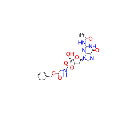 CC(C)C(=O)Nc1nc2c(ncn2[C@H]2CC(OC(=O)NCC(=O)OCc3ccccc3)[C@@H](CO)O2)c(=O)[nH]1